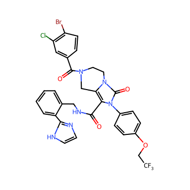 O=C(NCc1ccccc1-c1ncc[nH]1)c1c2n(c(=O)n1-c1ccc(OCC(F)(F)F)cc1)CCN(C(=O)c1ccc(Br)c(Cl)c1)C2